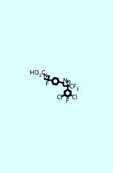 O=C(O)N1CC(F)(c2ccc(C3=NOC(c4cc(Cl)c(F)c(Cl)c4)(C(F)(F)F)C3)cc2)C1